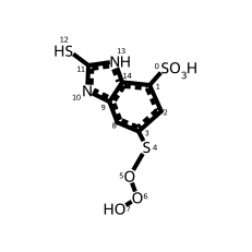 O=S(=O)(O)c1cc(SOOO)cc2nc(S)[nH]c12